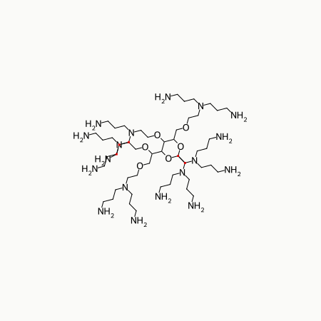 NCCCN(CCCN)CCOCC(OCCN(CCCN)CCCN)C(OCCN(CCCN)CCCN)C(OCCN(CCCN)CCCN)C(COCCN(CCCN)CCCN)OCCN(CCCN)CCCN